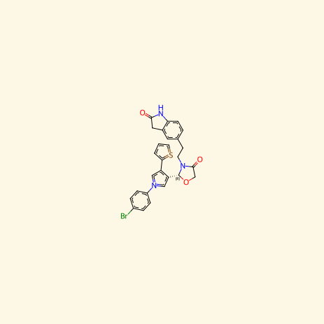 O=C1Cc2cc(CCN3C(=O)CO[C@@H]3c3cn(-c4ccc(Br)cc4)cc3-c3cccs3)ccc2N1